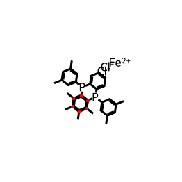 Cc1cc(C)cc(P(c2cc(C)cc(C)c2)c2ccccc2P(c2cc(C)cc(C)c2)c2cc(C)cc(C)c2)c1.[Cl-].[Cl-].[Fe+2]